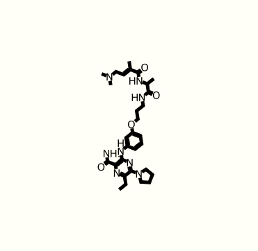 CCc1nc(C(N)=O)c(Nc2cccc(OCCCNC(=O)C(C)NC(=O)C(C)=CCN(C)C)c2)nc1N1CCCC1